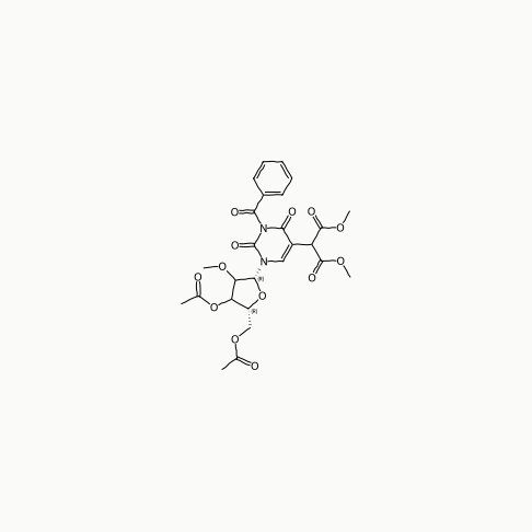 COC(=O)C(C(=O)OC)c1cn([C@@H]2O[C@H](COC(C)=O)C(OC(C)=O)C2OC)c(=O)n(C(=O)c2ccccc2)c1=O